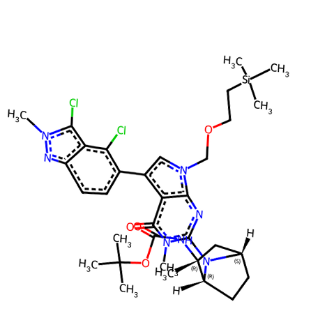 Cn1nc2ccc(-c3cn(COCC[Si](C)(C)C)c4nc(N5[C@H]6CC[C@@H]5[C@](C)(NC(=O)OC(C)(C)C)C6)n(C)c(=O)c34)c(Cl)c2c1Cl